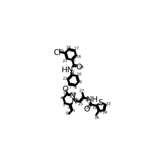 CC=C1CCC(Oc2cccc(NC(=O)c3cccc(Cl)c3)c2)=NN1/C=C(\C)NC(=O)c1sccc1C